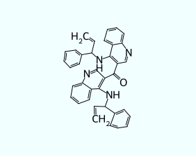 C=CC(Nc1c(C(=O)c2cnc3ccccc3c2NC(C=C)c2ccccc2)cnc2ccccc12)c1ccccc1